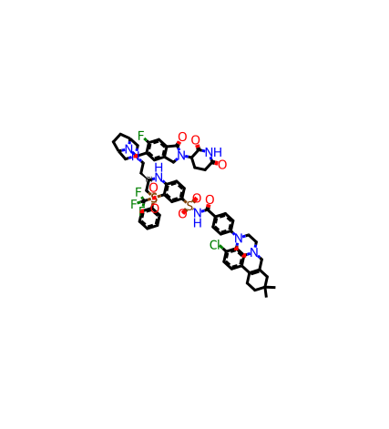 CC1(C)CCC(c2ccc(Cl)cc2)=C(CN2CCN(c3ccc(C(=O)NS(=O)(=O)c4ccc(N[C@H](CCN5CC6CCC(C5)N6Cc5cc6c(cc5F)C(=O)N(C5CCC(=O)NC5=O)C6)CSc5ccccc5)c(S(=O)(=O)C(F)(F)F)c4)cc3)CC2)C1